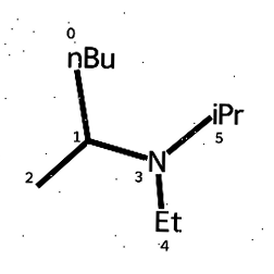 CCCCC(C)N(CC)C(C)C